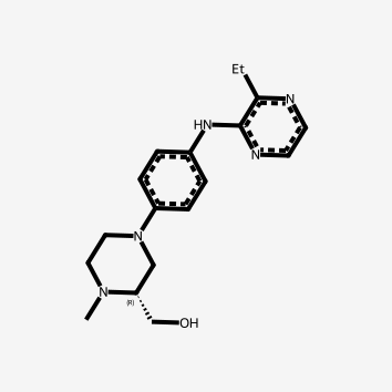 CCc1nccnc1Nc1ccc(N2CCN(C)[C@@H](CO)C2)cc1